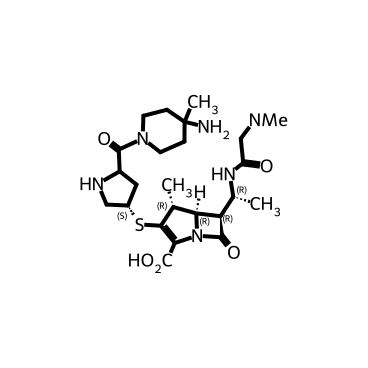 CNCC(=O)N[C@H](C)[C@H]1C(=O)N2C(C(=O)O)=C(S[C@@H]3CNC(C(=O)N4CCC(C)(N)CC4)C3)[C@H](C)[C@@H]12